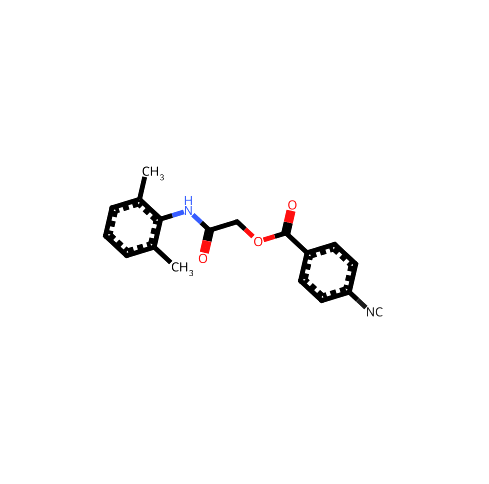 [C-]#[N+]c1ccc(C(=O)OCC(=O)Nc2c(C)cccc2C)cc1